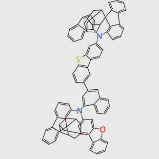 c1ccc2c(c1)-c1cccc(N(c3ccc4c(c3)sc3ccc(-c5cc(N(c6ccc7c(c6)oc6ccccc67)c6cccc7c6C6(c8ccccc8-7)C7CC8CC(C7)CC6C8)c6ccccc6c5)cc34)c3cccc4ccccc34)c1C21C2CC3CC(C2)CC1C3